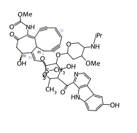 COC(=O)NC1=C2C#C/C=C\C#C[C@H](OC3OC(C)C(C(=O)c4nccc5c4[nH]c4ccc(O)cc45)C(O)C3OC3CC(OC)C(NC(C)C)CO3)C2/C(=C\CS(C)=S)[C@@H](O)CC1=O